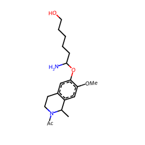 COc1cc2c(cc1OC(N)CCCCCO)CCN(C(C)=O)C2C